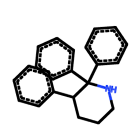 c1ccc(C2CCCNC2(c2ccccc2)c2ccccc2)cc1